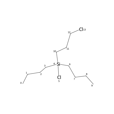 CCCC[Si](Cl)(CCCC)CCCCl